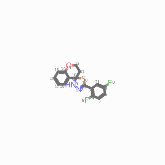 Fc1ccc(F)c(C2=NNC3(CCOc4ccccc43)S2)c1